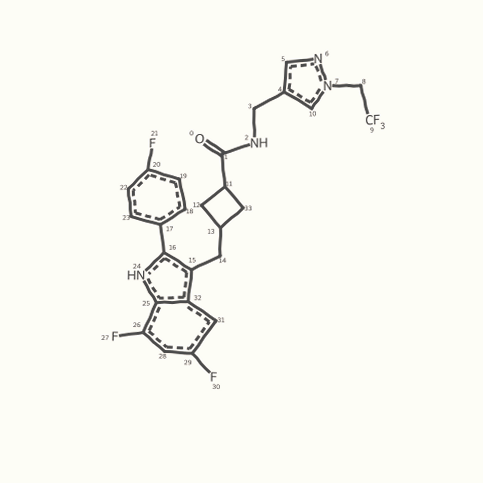 O=C(NCc1cnn(CC(F)(F)F)c1)C1CC(Cc2c(-c3ccc(F)cc3)[nH]c3c(F)cc(F)cc23)C1